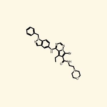 CCc1c(C(=O)NCCN2CCOCC2)c(Br)n2ncnc(Nc3ccc4c(cnn4Cc4ccccc4)c3)c12